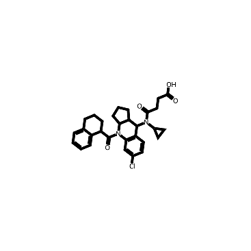 O=C(O)CCC(=O)N(C1CC1)C1c2ccc(Cl)cc2N(C(=O)C2CCCc3ccccc32)C2CCCC21